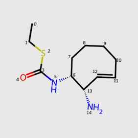 CCSC(=O)N[C@@H]1CCCC/C=C/[C@@H]1N